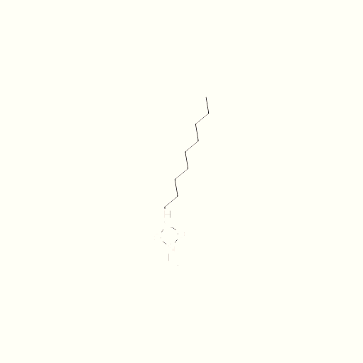 CCCCCCCCC[SiH]1O[SiH2]O1